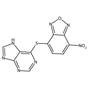 O=[N+]([O-])c1ccc(Sc2ncnc3nc[nH]c23)c2nonc12